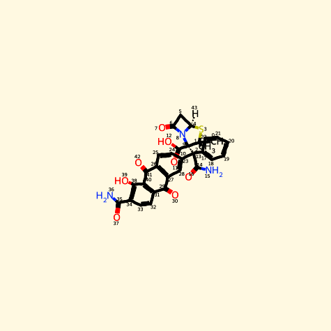 CC1(C)S[C@@H]2CC(=O)N2[C@@]1(C(=O)O)C(C(N)=O)(c1ccccc1)c1ccc2c(c1)C(=O)c1ccc(C(N)=O)c(O)c1C2=O